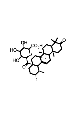 C[C@@H]1CC[C@]2(C(=O)[C@@H]3OC(C(=O)O)[C@@H](O)C(O)C3O)CC[C@]3(C)C(=CCC4[C@@]5(C)CCC(=O)C(C)(C)C5CC[C@]43C)C2[C@H]1C